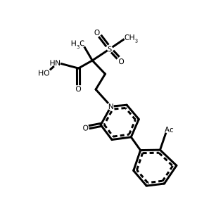 CC(=O)c1ccccc1-c1ccn(CCC(C)(C(=O)NO)S(C)(=O)=O)c(=O)c1